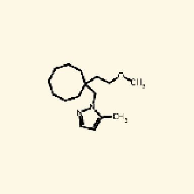 COCCC1(Cn2nccc2C)CCCCCCC1